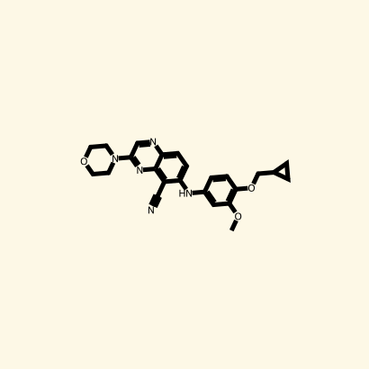 COc1cc(Nc2ccc3ncc(N4CCOCC4)nc3c2C#N)ccc1OCC1CC1